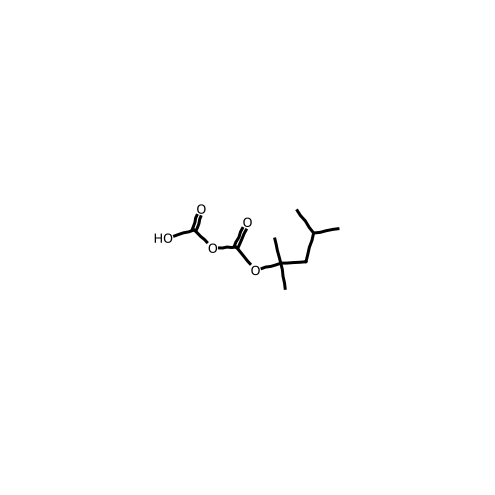 CC(C)CC(C)(C)OC(=O)OC(=O)O